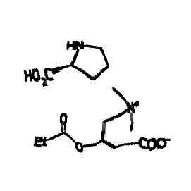 CCC(=O)OC(CC(=O)[O-])C[N+](C)(C)C.O=C(O)[C@@H]1CCCN1